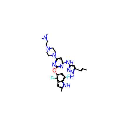 C/C=C/c1cc(Nc2cc(N3CCN(CCN(C)C)CC3)nc(Oc3cc(F)c4[nH]c(C)cc4c3F)n2)n[nH]1